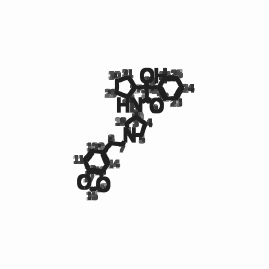 O=C(N[C@H]1CCN(CCc2ccc3c(c2)OCO3)C1)C(O)(c1ccccc1)C1CCCC1